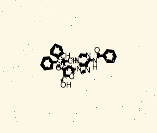 CC(C)(C)[Si](O[C@H]1C[C@H](n2cnc3c(NC(=O)c4ccccc4)ncnc32)O[C@@H]1CO)(c1ccccc1)c1ccccc1